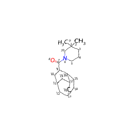 CC1(C)CCCN(C(=O)C2CC3CC4CCC2C(C4)C3)C1